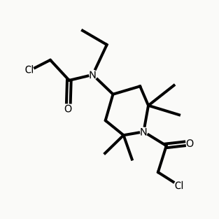 CCN(C(=O)CCl)C1CC(C)(C)N(C(=O)CCl)C(C)(C)C1